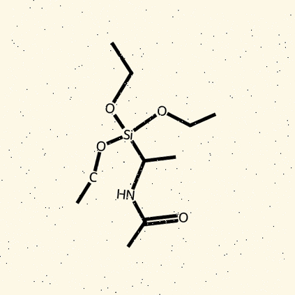 CCO[Si](OCC)(OCC)C(C)NC(C)=O